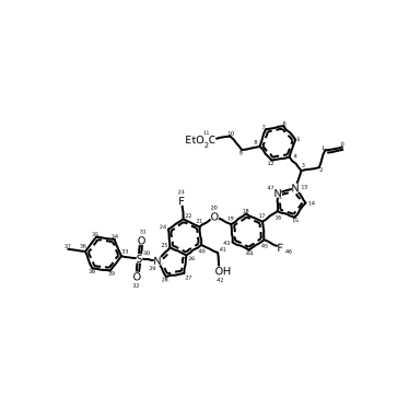 C=CCC(c1cccc(CCC(=O)OCC)c1)n1ccc(-c2cc(Oc3c(F)cc4c(ccn4S(=O)(=O)c4ccc(C)cc4)c3CO)ccc2F)n1